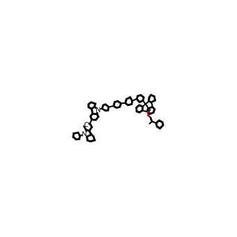 C/C(=C\C=C(/C)c1ccccc1C1(c2cccc(-c3ccc(-c4ccc(-c5ccc(-n6c7ccccc7c7cc(-c8ccc9c(c8)c8ccccc8n9-c8ccccc8)ccc76)cc5)cc4)cc3)c2)c2ccccc2-c2ccccc21)c1ccccc1